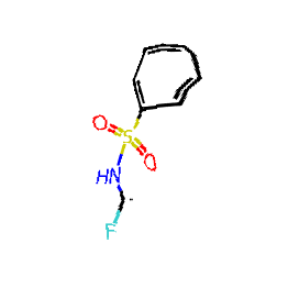 O=S(=O)(N[CH]F)c1ccccc1